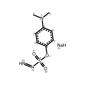 CN(C)c1ccc(OS(=O)(=O)N=N)cc1.[NaH]